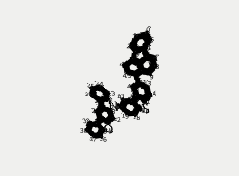 c1ccc2c(c1)-c1cccc3c(-c4ccc5sc6ccc(-n7c8ccccc8c8cc9c(cc87)oc7ccccc79)cc6c5c4)ccc-2c13